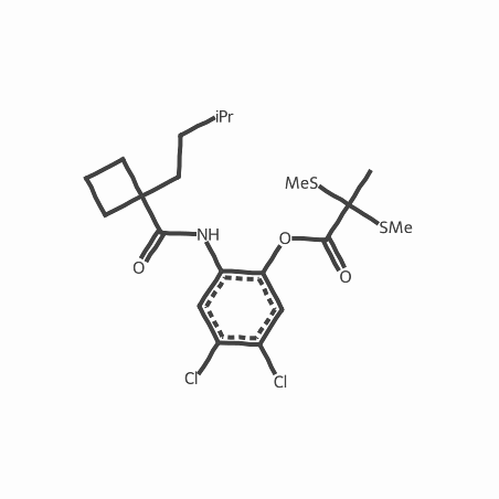 CSC(C)(SC)C(=O)Oc1cc(Cl)c(Cl)cc1NC(=O)C1(CCC(C)C)CCC1